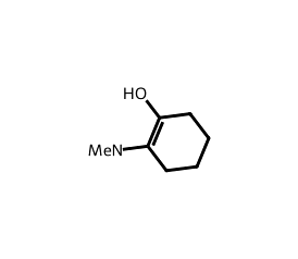 CNC1=C(O)CCCC1